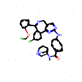 CN(C(=O)c1ccc(Nc2ncc3c(n2)-c2ccc(Cl)cc2C(c2ccccc2OCF)=NC3)cc1)C1CN2CCC1CC2